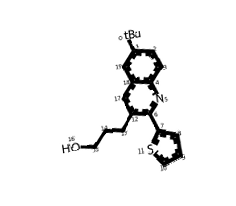 CC(C)(C)c1ccc2nc(-c3cccs3)c(CCCO)cc2c1